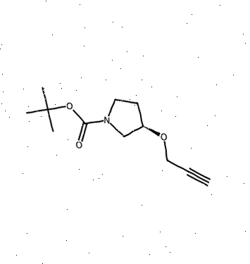 C#CCO[C@@H]1CCN(C(=O)OC(C)(C)C)C1